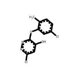 Cc1ccc(Cl)cc1Oc1nnc(Cl)cc1O